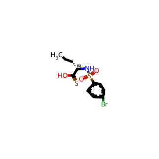 CCC[C@H](NS(=O)(=O)c1ccc(Br)cc1)C(O)=S